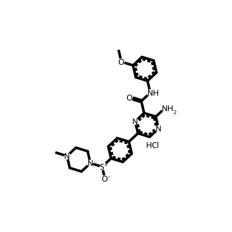 COc1cccc(NC(=O)c2nc(-c3ccc([S+]([O-])N4CCN(C)CC4)cc3)cnc2N)c1.Cl